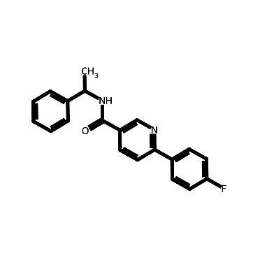 CC(NC(=O)c1ccc(-c2ccc(F)cc2)nc1)c1ccccc1